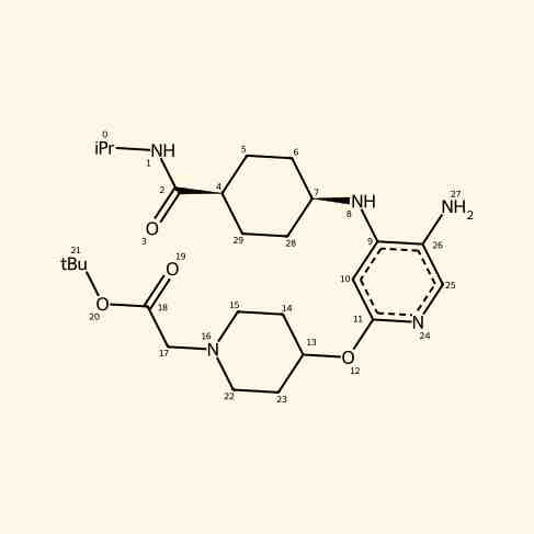 CC(C)NC(=O)[C@H]1CC[C@@H](Nc2cc(OC3CCN(CC(=O)OC(C)(C)C)CC3)ncc2N)CC1